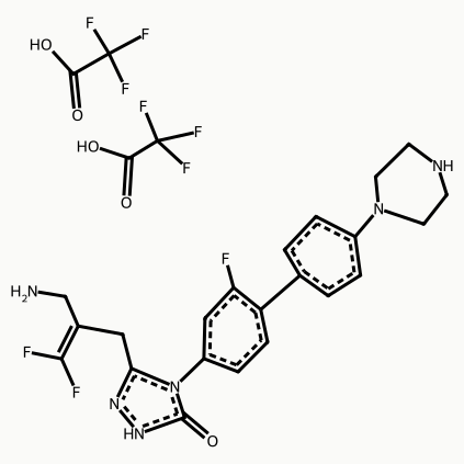 NCC(Cc1n[nH]c(=O)n1-c1ccc(-c2ccc(N3CCNCC3)cc2)c(F)c1)=C(F)F.O=C(O)C(F)(F)F.O=C(O)C(F)(F)F